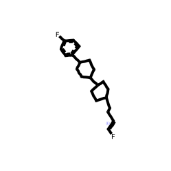 F/C=C/CCC1CCC(C2CCC(c3ccc(F)cc3)CC2)CC1